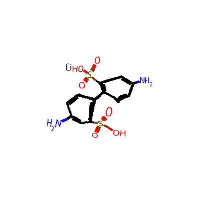 Nc1ccc(-c2ccc(N)cc2S(=O)(=O)O)c(S(=O)(=O)O)c1.[Li]